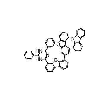 C1=Cc2oc3cc(-c4cccc5c4oc4c(C6=NC(c7ccccc7)NC(c7ccccc7)N6)cccc45)ccc3c2C(n2c3ccccc3c3ccccc32)C1